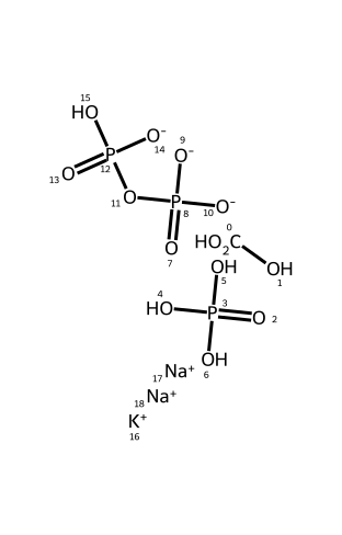 O=C(O)O.O=P(O)(O)O.O=P([O-])([O-])OP(=O)([O-])O.[K+].[Na+].[Na+]